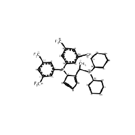 CC(C1=CC=C[C@H]1P(c1cc(C(F)(F)F)cc(C(F)(F)F)c1)c1cc(C(F)(F)F)cc(C(F)(F)F)c1)P(C1CCCCC1)C1CCCCC1